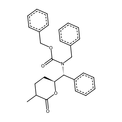 CC1CC[C@@H]([C@@H](c2ccccc2)N(Cc2ccccc2)C(=O)OCc2ccccc2)OC1=O